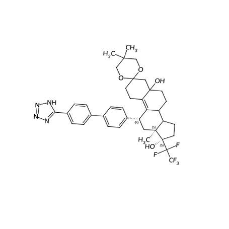 CC1(C)COC2(CCC3=C4C(CCC3(O)C2)C2CC[C@@](O)(C(F)(F)C(F)(F)F)[C@@]2(C)C[C@@H]4c2ccc(-c3ccc(-c4nnn[nH]4)cc3)cc2)OC1